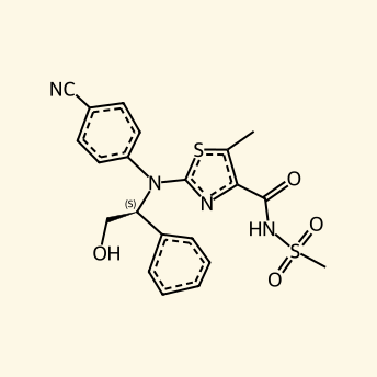 Cc1sc(N(c2ccc(C#N)cc2)[C@H](CO)c2ccccc2)nc1C(=O)NS(C)(=O)=O